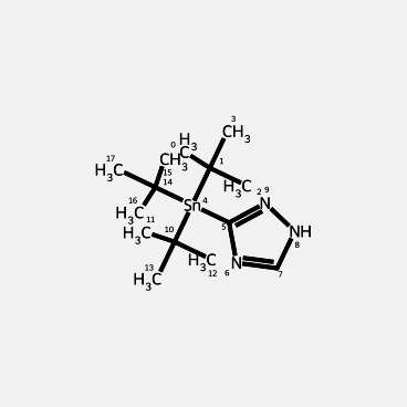 C[C](C)(C)[Sn]([c]1nc[nH]n1)([C](C)(C)C)[C](C)(C)C